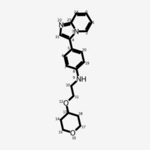 c1ccn2c(-c3ccc(NCCOC4CCOCC4)cc3)cnc2c1